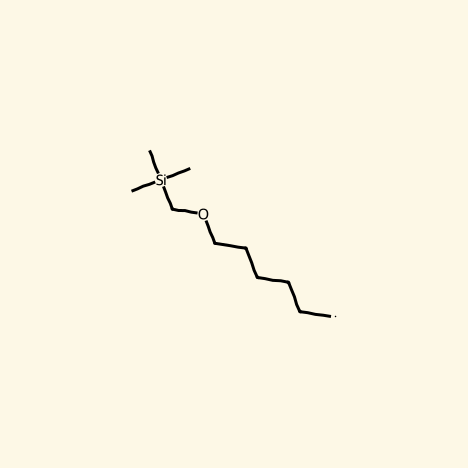 [CH2]CCCCCOC[Si](C)(C)C